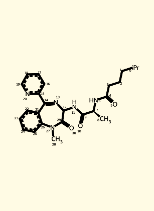 CC(C)CCCC(=O)N[C@@H](C)C(=O)NC1N=C(c2ccccn2)c2ccccc2N(C)C1=O